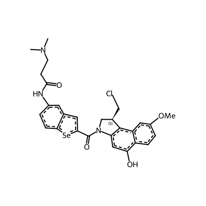 COc1ccc2c(O)cc3c(c2c1)[C@H](CCl)CN3C(=O)c1cc2cc(NC(=O)CCN(C)C)ccc2[se]1